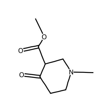 COC(=O)C1CN(C)CCC1=O